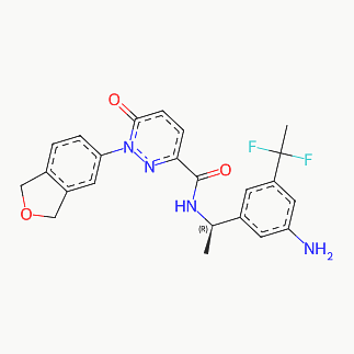 C[C@@H](NC(=O)c1ccc(=O)n(-c2ccc3c(c2)COC3)n1)c1cc(N)cc(C(C)(F)F)c1